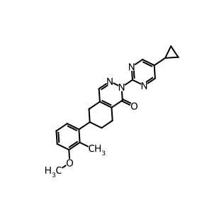 COc1cccc(C2CCc3c(cnn(-c4ncc(C5CC5)cn4)c3=O)C2)c1C